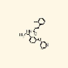 CC(NC(=O)C=Cc1ccccc1F)c1cccc(Oc2cncnc2)c1